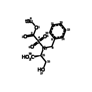 CC(C)(C)OC(=O)S(=O)(=O)N(Cc1ccccc1)[C@@H](CO)C(=O)O